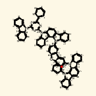 c1ccc(-c2nc(-n3c4ccccc4c4ccccc43)nc(-n3c4ccccc4c4c3ccc3c5ccccc5n(-c5ccc6oc7ccc(-n8c9ccccc9c9ccc%10c%11ccccc%11n(-c%11ccccc%11)c%10c98)cc7c6c5)c34)n2)cc1